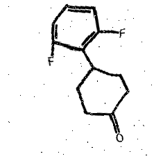 O=C1CCC(c2c(F)cccc2F)CC1